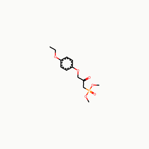 CCOc1ccc(OCC(=O)CP(=O)(OC)OC)cc1